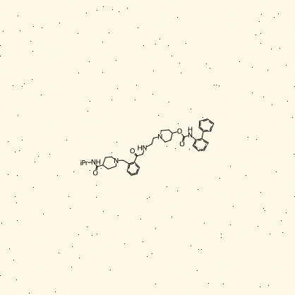 CC(C)NC(=O)C1CCN(Cc2ccccc2C(=O)CNCCN2CCC(OC(=O)Nc3ccccc3-c3ccccc3)CC2)CC1